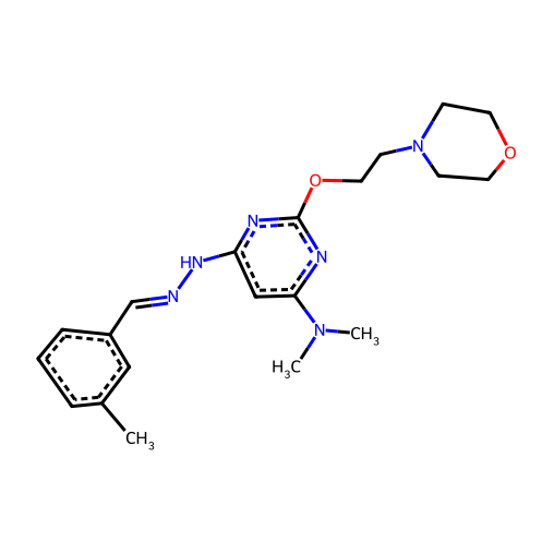 Cc1cccc(C=NNc2cc(N(C)C)nc(OCCN3CCOCC3)n2)c1